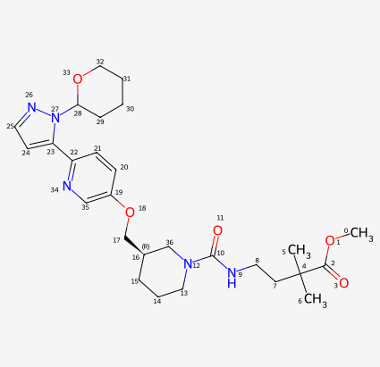 COC(=O)C(C)(C)CCNC(=O)N1CCC[C@@H](COc2ccc(-c3ccnn3C3CCCCO3)nc2)C1